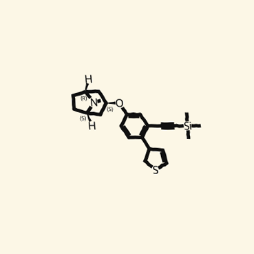 CN1[C@@H]2CC[C@H]1C[C@H](Oc1ccc(C3C=CSC3)c(C#C[Si](C)(C)C)c1)C2